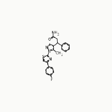 Cc1c(C(CC(N)=O)c2ccccc2)cnn1-c1nc(-c2ccc(F)cc2)cs1